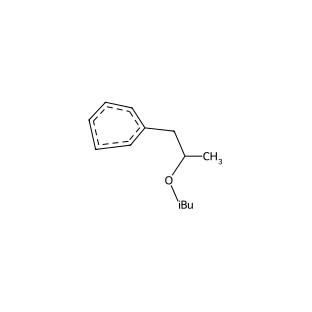 CCC(C)OC(C)Cc1ccccc1